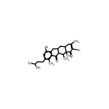 CCC(O)CCc1cc(C(C)C)c2c(c1C)C(=O)C1C(C2)CC2CC(C)=C(C(C)=O)C(=O)C2(C)C1C